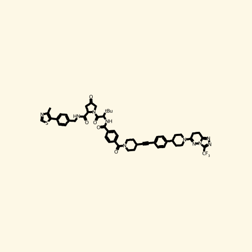 Cc1ncsc1-c1ccc(CNC(=O)C2CC(=O)CN2C(=O)C(NC(=O)c2ccc(C(=O)N3CCC(C#Cc4ccc(C5CCN(C6=Nn7c(nnc7C(F)(F)F)CC6)CC5)cc4)CC3)cc2)C(C)(C)C)cc1